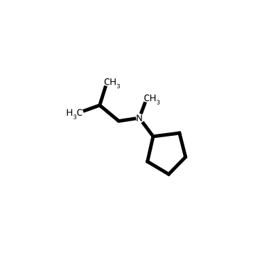 CC(C)CN(C)C1CCCC1